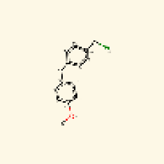 COc1ccc(Cc2ccc(CBr)cc2)cc1